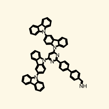 N=Cc1ccc(-c2ccc(-c3nc(-n4c5ccccc5c5cc(-n6c7ccccc7c7ccccc76)ccc54)cc(-n4c5ccccc5c5cc(-n6c7ccccc7c7ccccc76)ccc54)n3)cc2)cc1